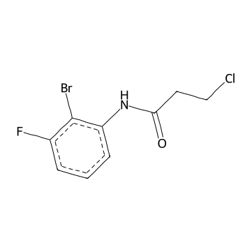 O=C(CCCl)Nc1cccc(F)c1Br